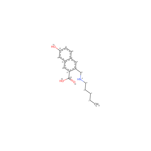 CCCCCNCc1cc2ccc(O)cc2cc1C(=O)O